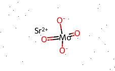 [O]=[Mo](=[O])([O-])[O-].[Sr+2]